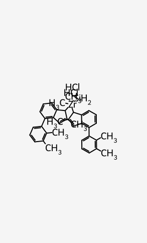 CC1=Cc2c(-c3cccc(C)c3C)cccc2[CH]1[Zr]([CH3])([CH3])(=[SiH2])[CH]1C(C)=Cc2c(-c3cccc(C)c3C)cccc21.Cl.Cl